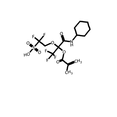 C=C(C)C(=O)OC(OCC(F)(F)S(=O)(=O)O)(C(=O)NC1CCCCC1)C(F)(F)F